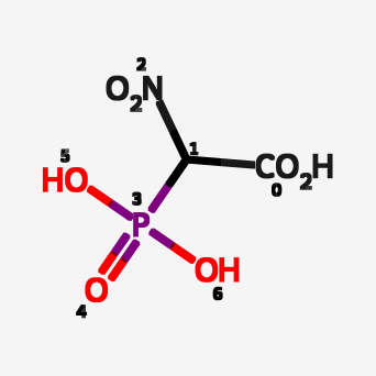 O=C(O)C([N+](=O)[O-])P(=O)(O)O